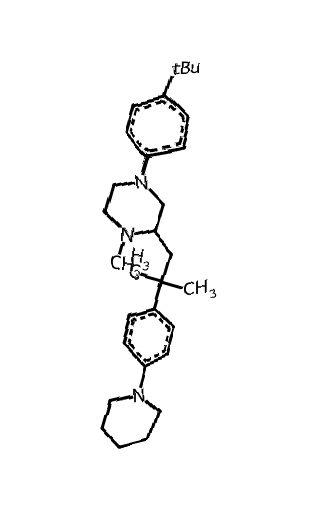 CN1CCN(c2ccc(C(C)(C)C)cc2)CC1CC(C)(C)c1ccc(N2CCCCC2)cc1